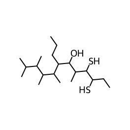 CCCC(C(C)C(C)C(C)C(C)C)C(O)C(C)C(S)C(S)CC